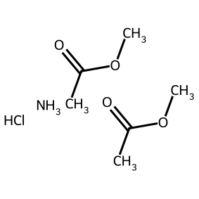 COC(C)=O.COC(C)=O.Cl.N